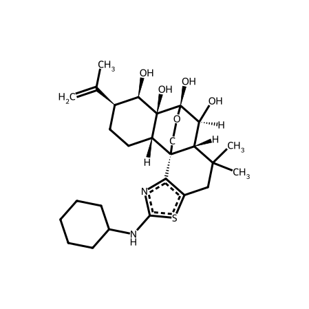 C=C(C)[C@@H]1CC[C@H]2[C@@]34CO[C@@](O)([C@@H](O)[C@@H]3C(C)(C)Cc3sc(NC5CCCCC5)nc34)[C@@]2(O)[C@@H]1O